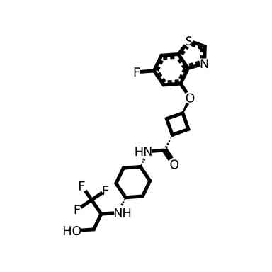 O=C(N[C@H]1CC[C@@H](NC(CO)C(F)(F)F)CC1)[C@H]1C[C@H](Oc2cc(F)cc3scnc23)C1